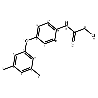 Cc1cc(C)cc(Oc2ccc(NC(=O)CCl)cc2)c1